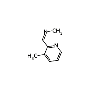 C/N=C\c1ncccc1C